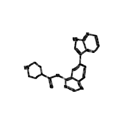 O=C(Oc1ncnc2ccc(-c3c[nH]c4ncccc34)cc12)C1CCNCC1